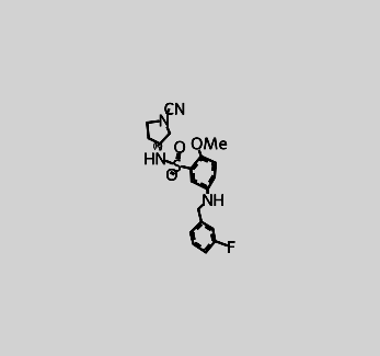 COc1ccc(NCc2cccc(F)c2)cc1S(=O)(=O)N[C@@H]1CCN(C#N)C1